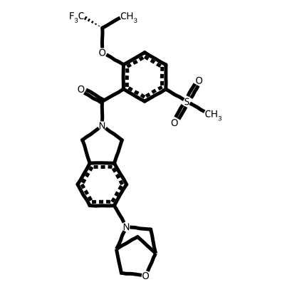 C[C@H](Oc1ccc(S(C)(=O)=O)cc1C(=O)N1Cc2ccc(N3CC4CC3CO4)cc2C1)C(F)(F)F